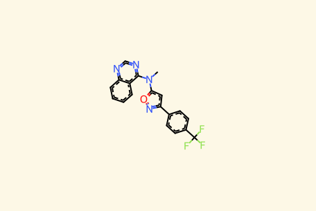 CN(c1cc(-c2ccc(C(F)(F)F)cc2)no1)c1ncnc2ccccc12